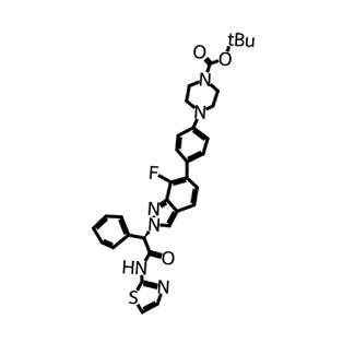 CC(C)(C)OC(=O)N1CCN(c2ccc(-c3ccc4cn([C@@H](C(=O)Nc5nccs5)c5ccccc5)nc4c3F)cc2)CC1